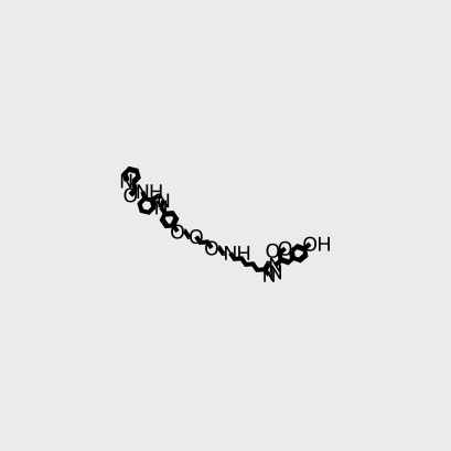 O=C(NC1CCCc2c1cnn2-c1ccc(OCCOCCOCCNCCCCCc2cn(-c3cc4ccc(O)cc4oc3=O)nn2)cc1)c1ccccn1